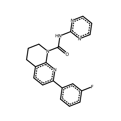 O=C(Nc1ncccn1)N1CCCc2ccc(-c3cccc(F)c3)nc21